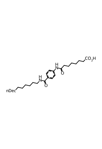 CCCCCCCCCCCCCCCCNC(=O)c1ccc(NC(=O)CCCCCCC(=O)O)cc1